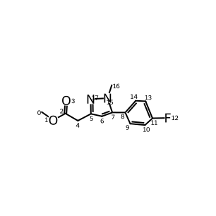 COC(=O)Cc1cc(-c2ccc(F)cc2)n(C)n1